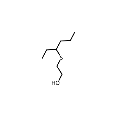 CCCC(CC)SCCO